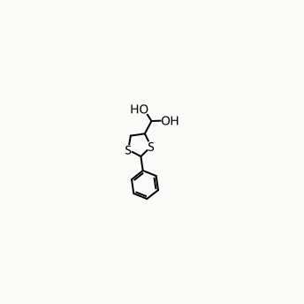 OC(O)C1CSC(c2ccccc2)S1